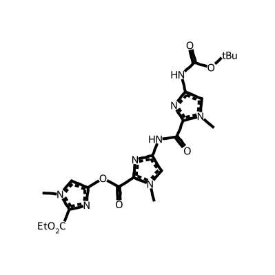 CCOC(=O)c1nc(OC(=O)c2nc(NC(=O)c3nc(NC(=O)OC(C)(C)C)cn3C)cn2C)cn1C